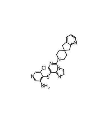 Bc1cncc(Cl)c1Sc1cnc(N2CCC3(CC2)Cc2cccnc2C3)n2ccnc12